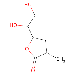 CC1CC(C(O)CO)OC1=O